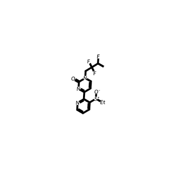 CC[S+]([O-])c1cccnc1-c1ccn(CC(F)(F)C(C)F)c(=O)n1